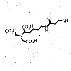 O=C(O)CN(CC(=O)O)C(CCCCNC(=O)CCS)C(=O)O